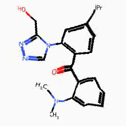 CC(C)c1ccc(C(=O)c2ccccc2N(C)C)c(-n2cnnc2CO)c1